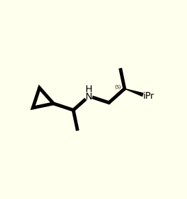 CC(NC[C@@H](C)C(C)C)C1CC1